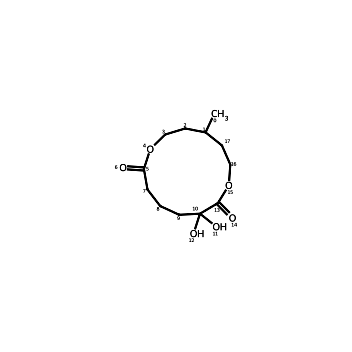 CC1CCOC(=O)CCCC(O)(O)C(=O)OCC1